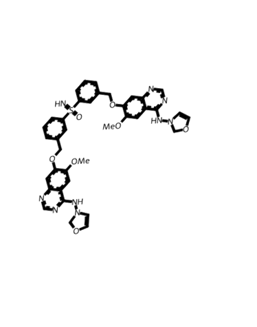 COc1cc2c(NN3C=COC3)ncnc2cc1OCc1cccc(S(=N)(=O)c2cccc(COc3cc4ncnc(NN5C=COC5)c4cc3OC)c2)c1